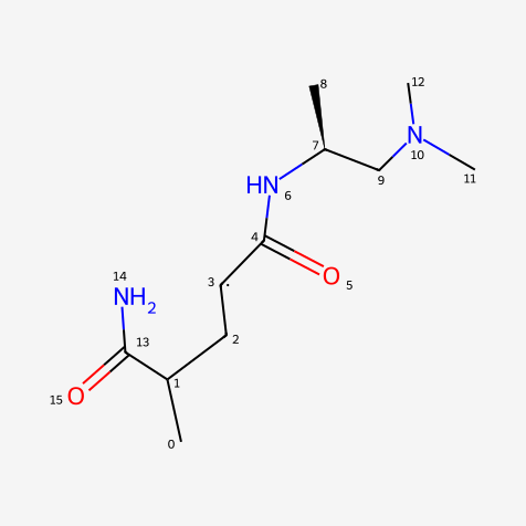 CC(C[CH]C(=O)N[C@@H](C)CN(C)C)C(N)=O